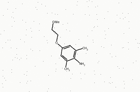 COCCOc1cc(C)c(N)c(C)c1